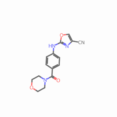 N#Cc1coc(Nc2ccc(C(=O)N3CCOCC3)cc2)n1